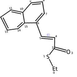 CCSC(=O)/C=C/c1cccc2ccccc12